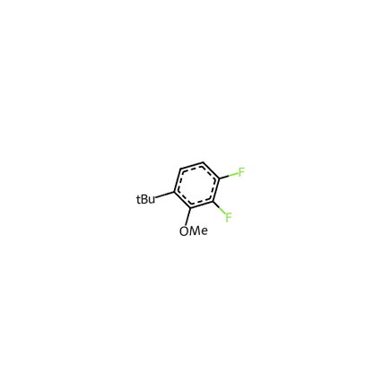 COc1c(C(C)(C)C)ccc(F)c1F